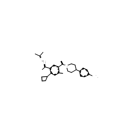 C=C(c1cc(/C(C)=N/N=C(C)C)c(C2CCC2)cc1C)N1CCC(c2ccc(C#N)cc2)CC1